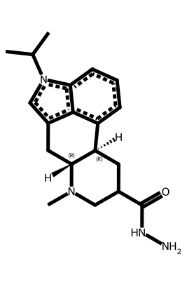 CC(C)n1cc2c3c(cccc31)[C@H]1CC(C(=O)NN)CN(C)[C@@H]1C2